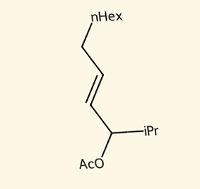 CCCCCCC/C=C/C(OC(C)=O)C(C)C